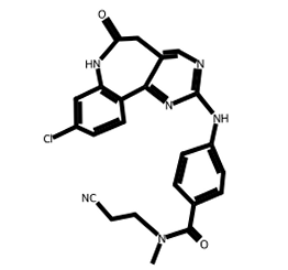 CN(CCC#N)C(=O)c1ccc(Nc2ncc3c(n2)-c2ccc(Cl)cc2NC(=O)C3)cc1